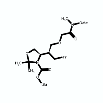 CON(C)C(=O)COC[C@@H](CC(C)C)[C@@H]1COC(C)(C)N1C(=O)OC(C)(C)C